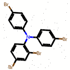 Brc1ccc(N(c2ccc(Br)cc2)c2ccc(Br)cc2Br)cc1